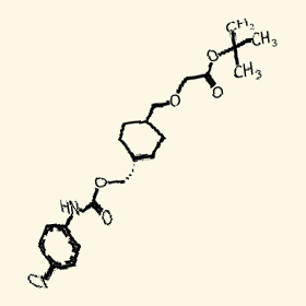 CC(C)(C)OC(=O)COC[C@H]1CC[C@H](COC(=O)Nc2ccc(Cl)cc2)CC1